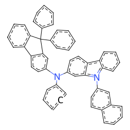 c1ccc(N(c2ccc3c(c2)C(c2ccccc2)(c2ccccc2)c2ccccc2-3)c2ccc3c4ccccc4n(-c4ccc5ccccc5c4)c3c2)cc1